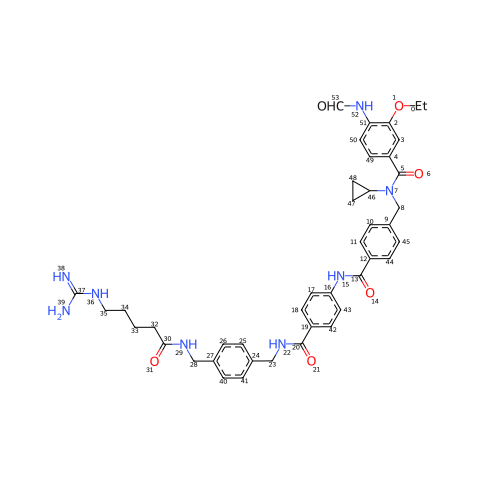 CCOc1cc(C(=O)N(Cc2ccc(C(=O)Nc3ccc(C(=O)NCc4ccc(CNC(=O)CCCCNC(=N)N)cc4)cc3)cc2)C2CC2)ccc1NC=O